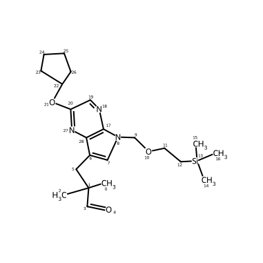 CC(C)(C=O)Cc1cn(COCC[Si](C)(C)C)c2ncc(OC3CCCC3)nc12